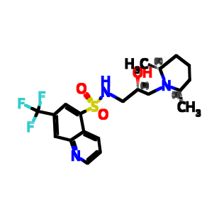 C[C@@H]1CCC[C@H](C)N1C[C@@H](O)CNS(=O)(=O)c1cc(C(F)(F)F)cc2ncccc12